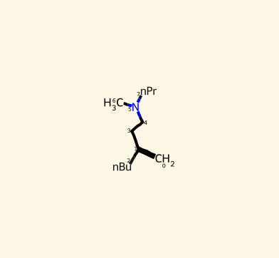 C=C(CCCC)CCN(C)CCC